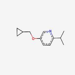 CC(C)c1ccc(OCC2CC2)cn1